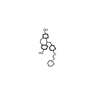 Oc1ccc2c(c1)CCc1cc(O)ccc1C2Cc1ccc(OCCN2CCCCC2)cc1